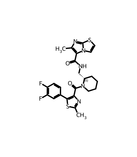 Cc1nc(C(=O)N2CCCC[C@H]2CNC(=O)c2c(C)nc3sccn23)c(-c2ccc(F)c(F)c2)s1